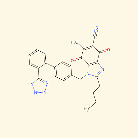 CCCCc1nc2c(n1Cc1ccc(-c3ccccc3-c3nnn[nH]3)cc1)C(=O)C(C)=C(C#N)C2=O